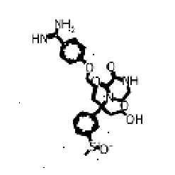 C[S+]([O-])c1cccc(C(CCCOc2ccc(C(=N)N)cc2)(CC(=O)O)N2CCNC(=O)C2=O)c1